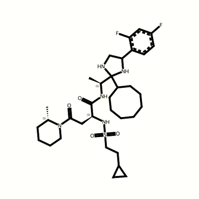 C[C@H](NC(=O)[C@H](CC(=O)N1CCCC[C@@H]1C)NS(=O)(=O)CCC1CC1)C1(C2CCCCCCC2)NCC(c2ccc(F)cc2F)N1